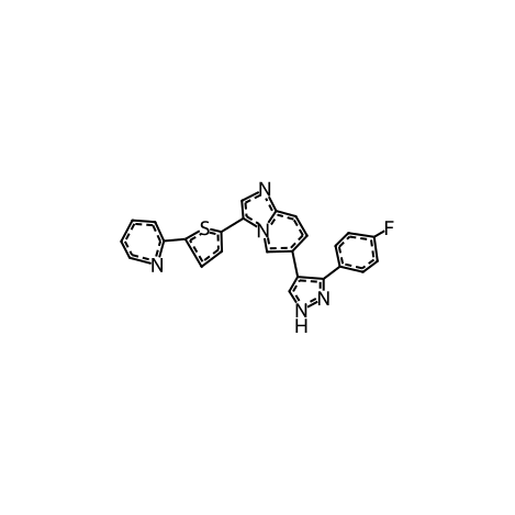 Fc1ccc(-c2n[nH]cc2-c2ccc3ncc(-c4ccc(-c5ccccn5)s4)n3c2)cc1